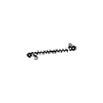 BrCCP(CCCCCCCCCCCCCCCCCCCCCCP(CCBr)Cc1ccccc1)Cc1ccccc1